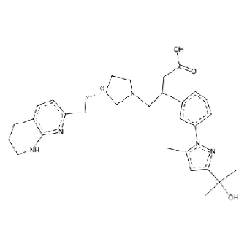 Cc1cc(C(C)(C)O)nn1-c1cccc(C(CC(=O)O)CN2CC[C@@H](CCc3ccc4c(n3)NCCC4)C2)c1